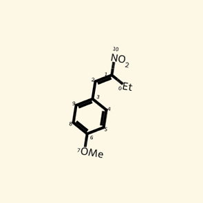 CC/C(=C\c1ccc(OC)cc1)[N+](=O)[O-]